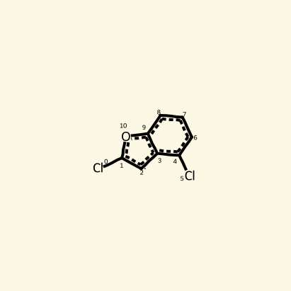 Clc1[c]c2c(Cl)cccc2o1